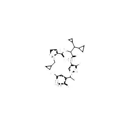 CC(c1cc(Cl)n[nH]c1=O)n1cc(NC(=O)C(NC(=O)c2ccnn2CC2CC2)C(C2CC2)C2CC2)c(F)n1